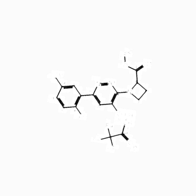 CC(C)OC(=O)C1CCN1c1nnc(-c2cc(Cl)ccc2F)cc1C(=O)O.O=C(O)C(F)(F)F